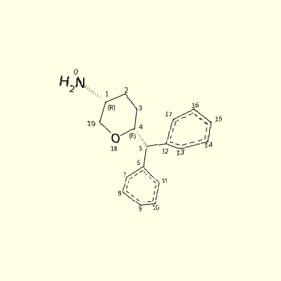 N[C@@H]1CC[C@H](C(c2ccccc2)c2ccccc2)OC1